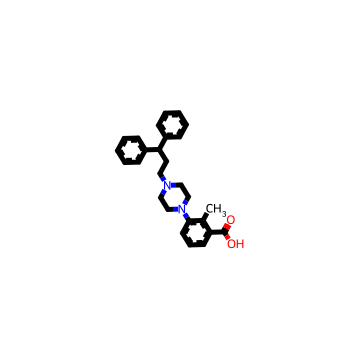 Cc1c(C(=O)O)cccc1N1CCN(CCC(c2ccccc2)c2ccccc2)CC1